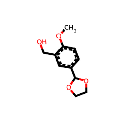 COc1ccc(C2OCCO2)cc1CO